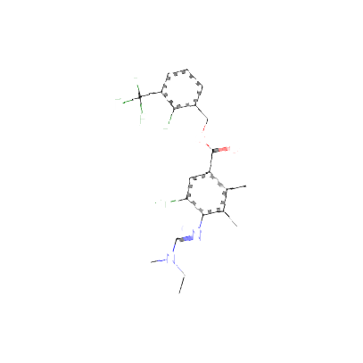 CCN(C)/C=N/c1c(Br)cc(C(=O)OCc2cccc(C(F)(F)F)c2F)c(C)c1C